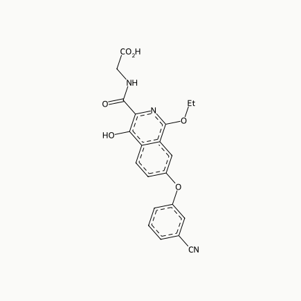 CCOc1nc(C(=O)NCC(=O)O)c(O)c2ccc(Oc3cccc(C#N)c3)cc12